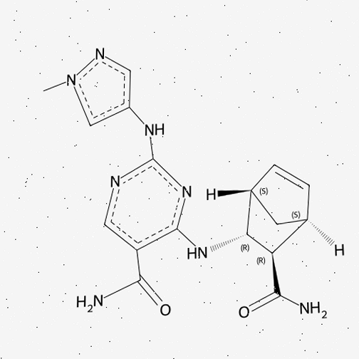 Cn1cc(Nc2ncc(C(N)=O)c(N[C@H]3[C@H](C(N)=O)[C@@H]4C=C[C@@H]3C4)n2)cn1